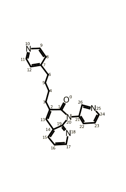 O=c1c(CCCCc2ccncc2)cc2cccnc2n1-c1cccnc1